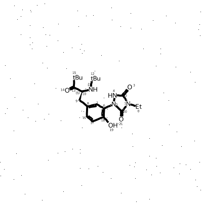 CCn1c(=O)[nH]n(-c2cc(C[C@H](NC(C)(C)C)C(=O)C(C)(C)C)ccc2O)c1=O